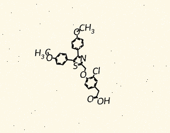 COc1ccc(-c2nc(COc3ccc(CC(=O)O)cc3Cl)sc2-c2ccc(OC)cc2)cc1